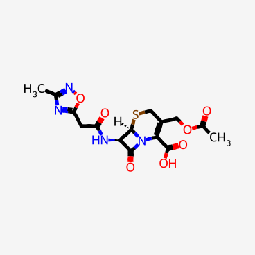 CC(=O)OCC1=C(C(=O)O)N2C(=O)[C@@H](NC(=O)Cc3nc(C)no3)[C@H]2SC1